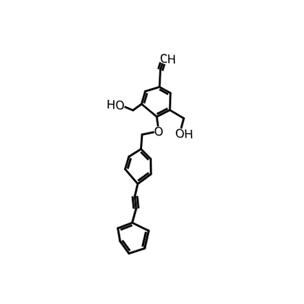 C#Cc1cc(CO)c(OCc2ccc(C#Cc3ccccc3)cc2)c(CO)c1